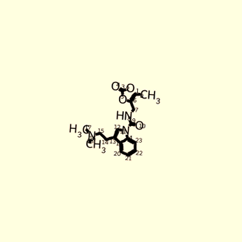 Cc1oc(=O)oc1CNC(=O)n1cc(CCN(C)C)c2ccccc21